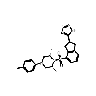 Cc1ccc(N2C[C@@H](C)N(S(=O)(=O)c3cccc4c3CC(c3nnn[nH]3)C4)[C@@H](C)C2)cc1